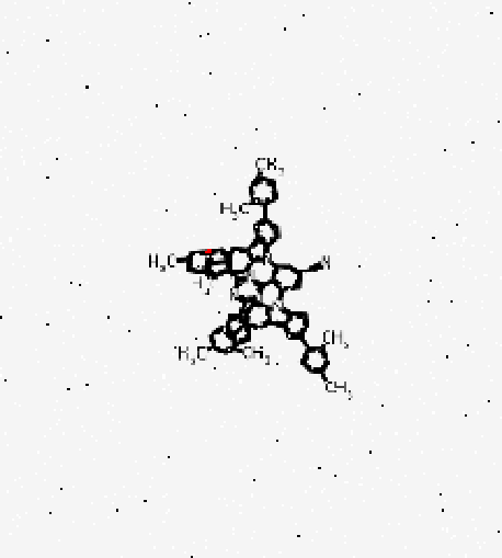 Cc1ccc(-c2ccc3c(c2)c2cc(-c4ccc(C)cc4C)ccc2n3-c2cc(C#N)cc(-n3c4ccc(-c5ccc(C)cc5C)cc4c4cc(-c5ccc(C)cc5C)ccc43)c2-c2nc(-c3ccccc3)nc(-c3ccccc3)n2)c(C)c1